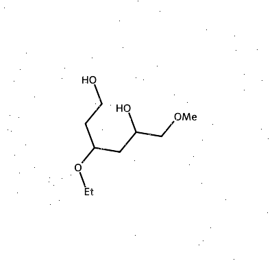 CCOC(CCO)CC(O)COC